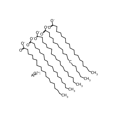 CCCCCCCCCCCCCCCCCC(=O)[O-].CCCCCCCCCCCCCCCCCC(=O)[O-].CCCCCCCCCCCCCCCCCC(=O)[O-].CCCCCCCCCCCCCCCCCC(=O)[O-].CCCCCCCCCCCCCCCCCC(=O)[O-].[Al+3].[O+2]